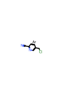 N#Cc1ccc(CCl)cn1.[Ar]